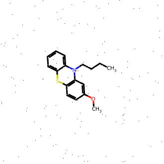 CCCCN1c2ccccc2Sc2ccc(OC)cc21